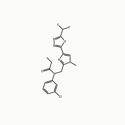 CCC(=O)N(Cc1nc(-c2nnc(C(F)F)o2)cn1C)c1cccc(Cl)c1